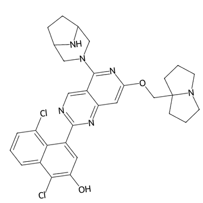 Oc1cc(-c2ncc3c(N4CC5CCC(C4)N5)nc(OCC45CCCN4CCC5)cc3n2)c2c(Cl)cccc2c1Cl